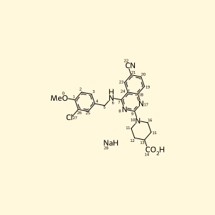 COc1ccc(CNc2nc(N3CCC(C(=O)O)CC3)nc3ccc(C#N)cc23)cc1Cl.[NaH]